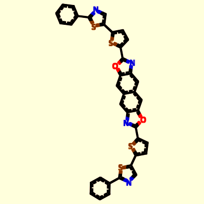 c1ccc(-c2ncc(-c3ccc(-c4nc5cc6cc7oc(-c8ccc(-c9cnc(-c%10ccccc%10)s9)s8)nc7cc6cc5o4)s3)s2)cc1